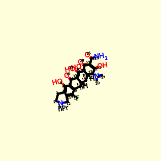 CCCN1CCc2c(O)c3c(c(F)c2C1)C[C@H]1C[C@H]2[C@H](N(C)C)C(O)=C(C(N)=O)C(=O)[C@@]2(O)C(O)=C1C3=O